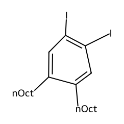 CCCCCCCCc1cc(I)c(I)cc1CCCCCCCC